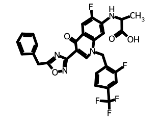 CC(Nc1cc2c(cc1F)c(=O)c(-c1noc(Cc3ccccc3)n1)cn2Cc1ccc(C(F)(F)F)cc1F)C(=O)O